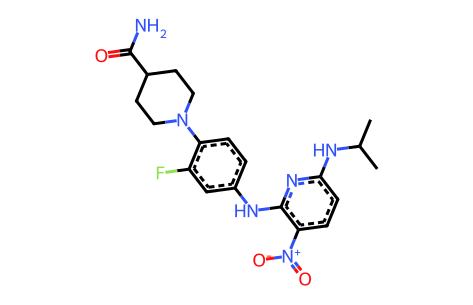 CC(C)Nc1ccc([N+](=O)[O-])c(Nc2ccc(N3CCC(C(N)=O)CC3)c(F)c2)n1